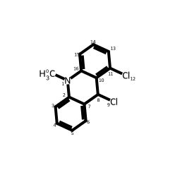 CN1c2ccccc2C(Cl)c2c(Cl)cccc21